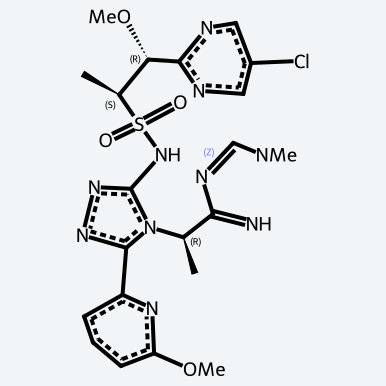 CN/C=N\C(=N)[C@@H](C)n1c(NS(=O)(=O)[C@@H](C)[C@H](OC)c2ncc(Cl)cn2)nnc1-c1cccc(OC)n1